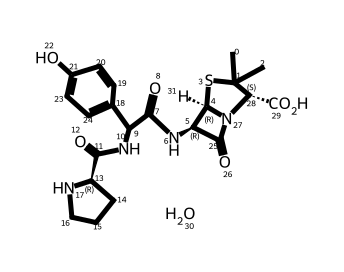 CC1(C)S[C@@H]2[C@H](NC(=O)C(NC(=O)[C@H]3CCCN3)c3ccc(O)cc3)C(=O)N2[C@H]1C(=O)O.O